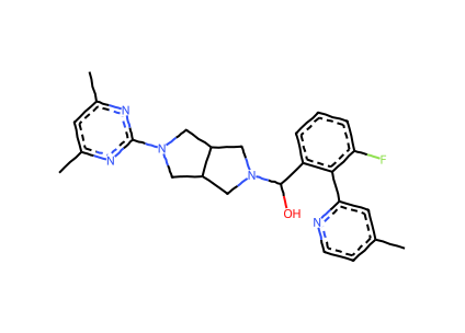 Cc1ccnc(-c2c(F)cccc2C(O)N2CC3CN(c4nc(C)cc(C)n4)CC3C2)c1